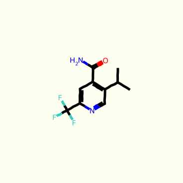 CC(C)c1cnc(C(F)(F)F)cc1C(N)=O